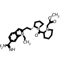 CCn1c(CC[C@@H]2CCCN2C(=O)C2CCCCN2CC(=O)OC)cc2ccc(C(=N)N)cc21